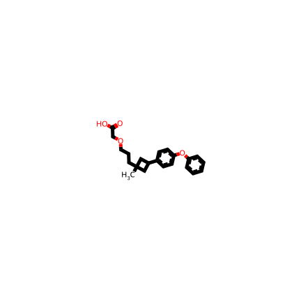 CC1(CCCOCC(=O)O)CC(c2ccc(Oc3ccccc3)cc2)C1